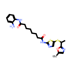 CC(Sc1cnc(NC(=O)CCCCCCC(=O)Nc2ccccc2N)s1)c1ncc(C(C)(C)C)o1